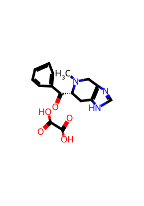 CN1Cc2nc[nH]c2C[C@@H]1C(=O)c1ccccc1.O=C(O)C(=O)O